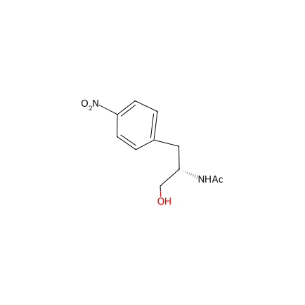 CC(=O)N[C@H](CO)Cc1ccc([N+](=O)[O-])cc1